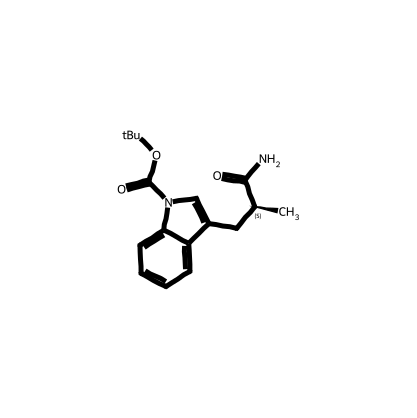 C[C@@H](Cc1cn(C(=O)OC(C)(C)C)c2ccccc12)C(N)=O